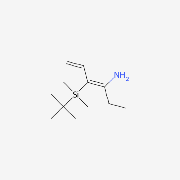 C=CC(=C(N)CC)[Si](C)(C)C(C)(C)C